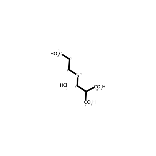 Cl.O=C(O)CCSCC(C(=O)O)C(=O)O